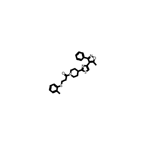 Cc1ccccc1SCCC(=O)N1CCC(c2nc(-c3c(-c4ccccc4)noc3C)cs2)CC1